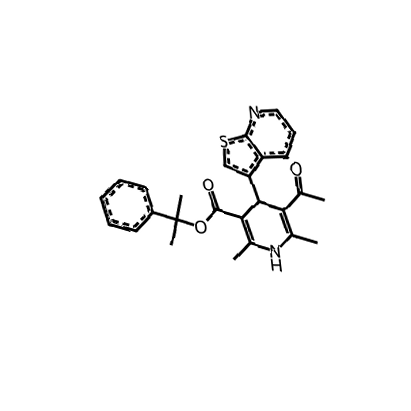 CC(=O)C1=C(C)NC(C)=C(C(=O)OC(C)(C)c2ccccc2)C1c1csc2ncccc12